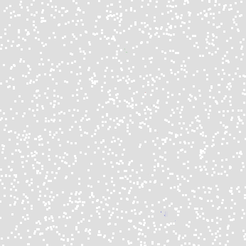 NCCOCCOCC(=O)OC(c1ccccc1)(c1ccc(C2CCCCCCC2)cc1)c1ccccc1Cl